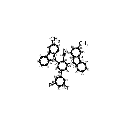 Cc1ccc2c(c1)c1ccccc1n2-c1cc(-c2cc(F)cc(F)c2)cc(-n2c3ccccc3c3cc(C)ccc32)c1C#N